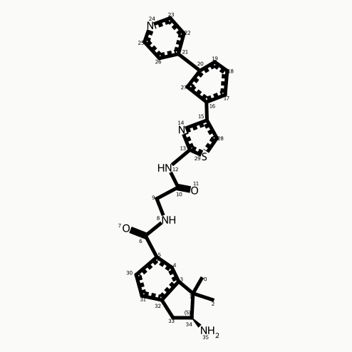 CC1(C)c2cc(C(=O)NCC(=O)Nc3nc(-c4cccc(-c5ccncc5)c4)cs3)ccc2C[C@@H]1N